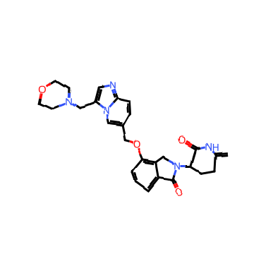 C=C1CCC(N2Cc3c(OCc4ccc5ncc(CN6CCOCC6)n5c4)cccc3C2=O)C(=O)N1